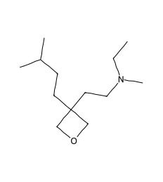 CCN(C)CCC1(CCC(C)C)COC1